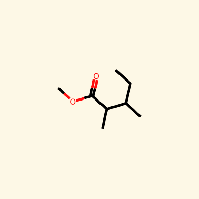 CCC(C)C(C)C(=O)OC